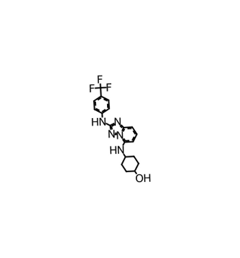 OC1CCC(Nc2cccc3nc(Nc4ccc(C(F)(F)F)cc4)nn23)CC1